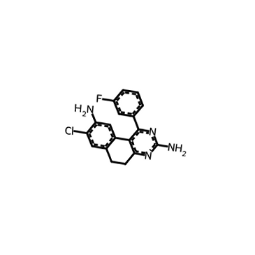 Nc1nc2c(c(-c3cccc(F)c3)n1)-c1cc(N)c(Cl)cc1CC2